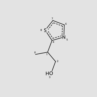 CC(CO)c1nccs1